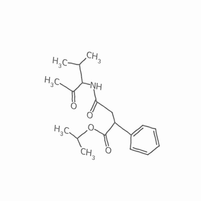 CC(=O)C(NC(=O)CC(C(=O)OC(C)C)c1ccccc1)C(C)C